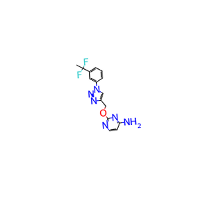 CC(F)(F)c1cccc(-n2cc(COc3nccc(N)n3)nn2)c1